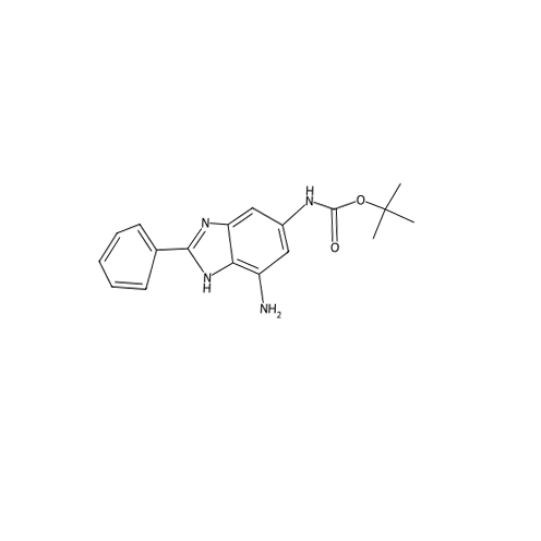 CC(C)(C)OC(=O)Nc1cc(N)c2[nH]c(-c3ccccc3)nc2c1